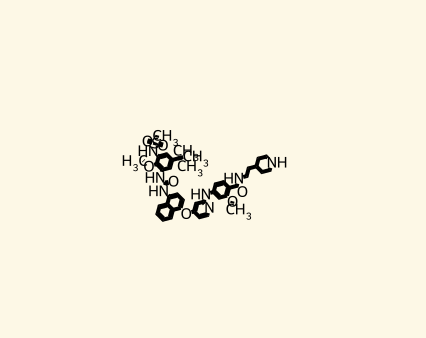 COc1cc(Nc2cc(Oc3ccc(NC(=O)Nc4cc(C(C)(C)C)cc(NS(C)(=O)=O)c4OC)c4ccccc34)ccn2)ccc1C(=O)NCCC1CCNCC1